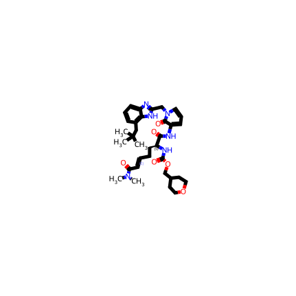 CN(C)C(=O)/C=C/CC[C@H](NC(=O)OCC1CCOCC1)C(=O)Nc1cccn(Cc2nc3cccc(CC(C)(C)C)c3[nH]2)c1=O